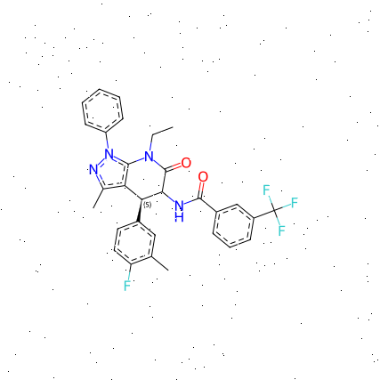 CCN1C(=O)C(NC(=O)c2cccc(C(F)(F)F)c2)[C@@H](c2ccc(F)c(C)c2)c2c(C)nn(-c3ccccc3)c21